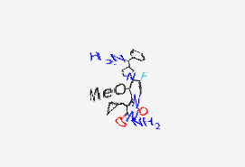 COc1c(N2CCC(C(N)c3ccccc3)C2)c(F)cn2c(=O)n(N)c(=O)c(C3CC3)c12